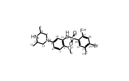 COc1ccc(N2CC(C)NC(C)C2)cc1NS(=O)(=O)c1cc(F)c(Br)cc1F